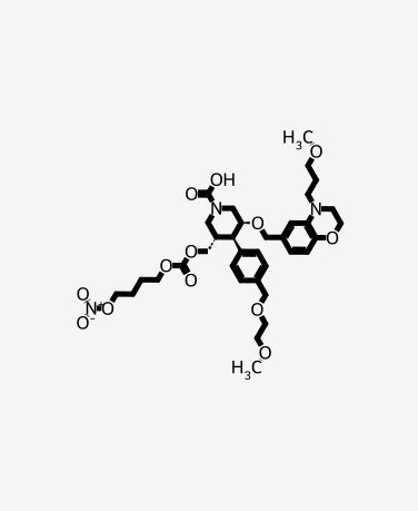 COCCCN1CCOc2ccc(CO[C@H]3CN(C(=O)O)C[C@@H](COC(=O)OCCCCO[N+](=O)[O-])[C@@H]3c3ccc(COCCOC)cc3)cc21